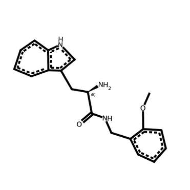 COc1ccccc1CNC(=O)[C@H](N)Cc1c[nH]c2ccccc12